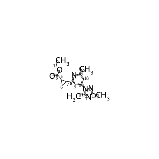 CCOC(=O)C1CC1c1cc(-n2nc(C)nc2C)cc(C)n1